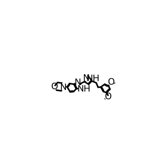 COc1cc(CCc2cc(-c3nc4cc(N5CCOCC5)ccc4[nH]3)n[nH]2)cc(OC)c1